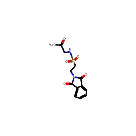 COC(=O)CNS(=O)(=O)CCN1C(=O)c2ccccc2C1=O